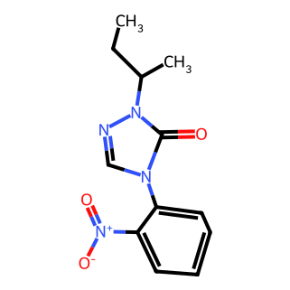 CCC(C)n1ncn(-c2ccccc2[N+](=O)[O-])c1=O